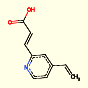 C=Cc1ccnc(C=CC(=O)O)c1